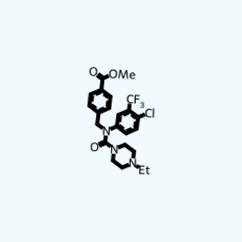 CCN1CCN(C(=O)N(Cc2ccc(C(=O)OC)cc2)c2ccc(Cl)c(C(F)(F)F)c2)CC1